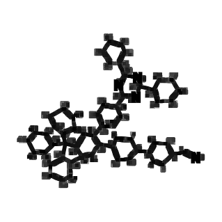 N#Cc1ccc(-c2ccc(-c3cc4c(cc3-c3ccc(-c5nc(-c6ccccc6)nc(-c6ccccc6)n5)cc3)C(c3ccccc3)(c3ccccc3)c3ccccc3-4)cc2)cc1